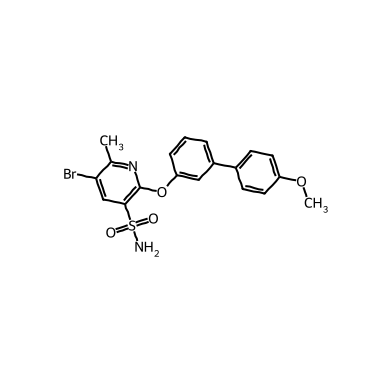 COc1ccc(-c2cccc(Oc3nc(C)c(Br)cc3S(N)(=O)=O)c2)cc1